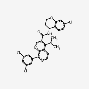 CN(C)c1c(C(=O)N[C@@H]2CCOc3cc(Cl)ccc32)cnc2c(-c3cc(Cl)cc(Cl)c3)nccc12